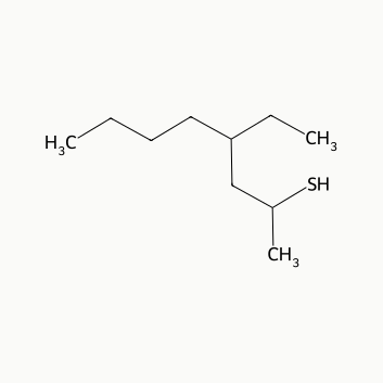 CCCCC(CC)CC(C)S